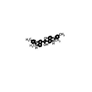 Cc1ccc(C2(C)Nc3cccc4c(C5C(O)C(c6ccc7c8c(cccc68)NC(C)(c6ccc(C)cc6)N7)C5O)ccc(c34)N2)cc1